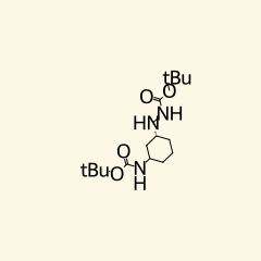 CC(C)(C)OC(=O)NN[C@@H]1CCCC(NC(=O)OC(C)(C)C)C1